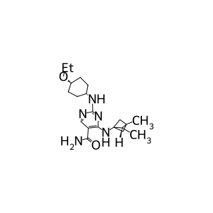 CCO[C@H]1CC[C@H](Nc2ncc(C(N)=O)c(NC34CC(C)(C3)[C@@H]4C)n2)CC1